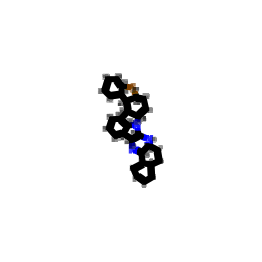 c1ccc2c(c1)ccc1nc3c(nc12)c1cccc2c4c5c(ccc4n3c12)sc1ccccc15